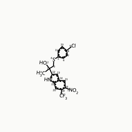 CC(O)(CSc1ccc(Cl)cc1)c1cc2cc([N+](=O)[O-])c(C(F)(F)F)cc2[nH]1